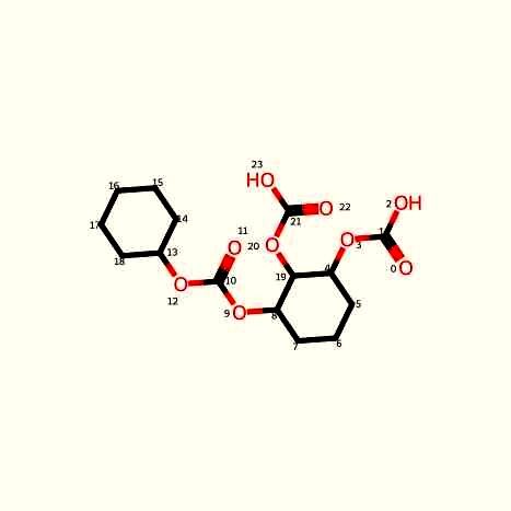 O=C(O)OC1CCCC(OC(=O)OC2CCCCC2)C1OC(=O)O